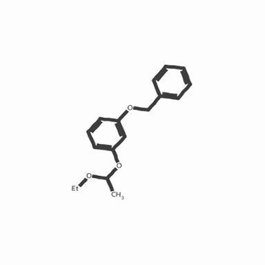 CCOC(C)Oc1cccc(OCc2ccccc2)c1